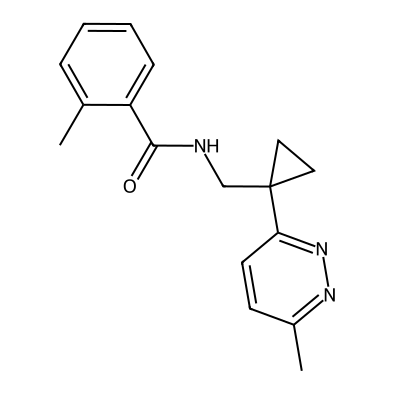 Cc1ccc(C2(CNC(=O)c3ccccc3C)CC2)nn1